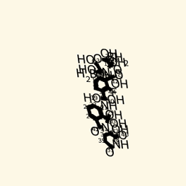 BC1(O)OC(O)(O)C(B)(O)N2C(O)(c3cccc(C(O)(O)Nc4cccc5c4C(O)(O)N(C4(O)CCC(=O)NC4=O)C5=O)c3F)OOC21O